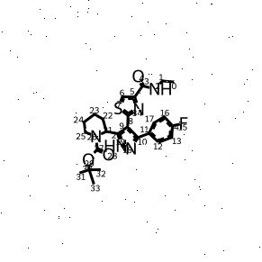 CCNC(=O)c1csc(-c2c(-c3ccc(F)cc3)n[nH]c2C2CCCCN2C(=O)OC(C)(C)C)n1